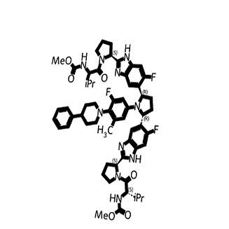 COC(=O)NC(C(=O)N1CCC[C@H]1c1nc2cc([C@H]3CC[C@H](c4cc5nc([C@@H]6CCCN6C(=O)[C@@H](NC(=O)OC)C(C)C)[nH]c5cc4F)N3c3cc(C)c(N4CCC(c5ccccc5)CC4)c(F)c3)c(F)cc2[nH]1)C(C)C